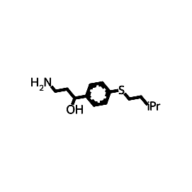 CC(C)CCSc1ccc(C(O)CCN)cc1